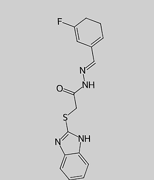 O=C(CSc1nc2ccccc2[nH]1)N/N=C/C1=CCCC(F)=C1